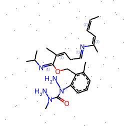 C\C=C/C=C(C)\N=C\C/C=C(C)\C(=N/C(C)C)OCc1c(C)cccc1N(N)C(=O)N(C)N